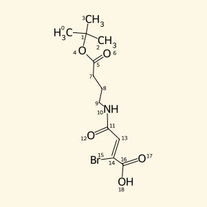 CC(C)(C)OC(=O)CCCNC(=O)/C=C(\Br)C(=O)O